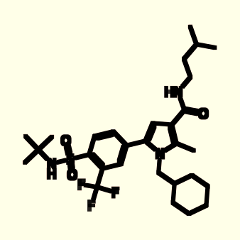 Cc1c(C(=O)NCCC(C)C)cc(-c2ccc(S(=O)(=O)NC(C)(C)C)c(C(F)(F)F)c2)n1CC1CCCCC1